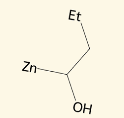 CCC[CH](O)[Zn]